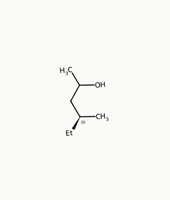 CC[C@H](C)CC(C)O